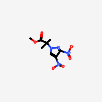 COC(=O)C(C)(C)n1cc([N+](=O)[O-])c([N+](=O)[O-])n1